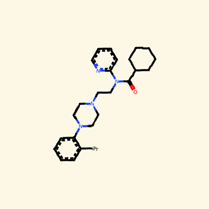 CC(C)c1ccccc1N1CCN(CCN(C(=O)C2CCCCC2)c2ccccn2)CC1